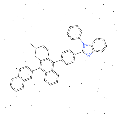 CC1C=Cc2c(c(-c3ccc4ccccc4c3)c3ccccc3c2-c2ccc(-c3nc4ccccc4n3-c3ccccc3)cc2)C1